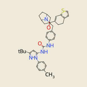 Cc1ccc(-n2nc(C(C)(C)C)cc2NC(=O)Nc2ccc(CC3CC4CCC(C3)N4C(=O)C3=Cc4sccc4CC3)cc2)cc1